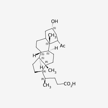 CC(=O)C1C[C@@H](O)CC2CC[C@@H]3[C@H](CC[C@]4(C)[C@@H]([C@H](C)CCC(=O)O)CC[C@@H]34)[C@]21C